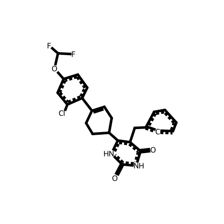 O=c1[nH]c(C2CC=C(c3ccc(OC(F)F)cc3Cl)CC2)c(Cc2ccccc2)c(=O)[nH]1